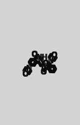 O=C(NCc1n[nH]c(=O)c2ccc(N3CCOCC3)cc12)c1ccccc1C(=O)N1CCOCC1